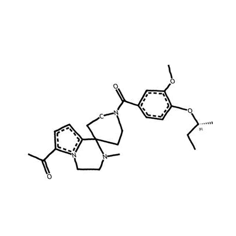 CC[C@@H](C)Oc1ccc(C(=O)N2CCC3(CC2)c2ccc(C(C)=O)n2CCN3C)cc1OC